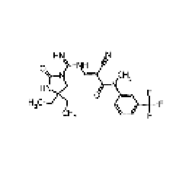 CCC1(CC)CN(C(=N)N/C=C(\C#N)C(=O)N(C)c2cccc(C(F)(F)F)c2)C(=O)N1